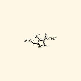 CNCc1nn(C)c(NC=O)c1Br